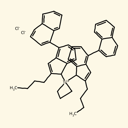 CCCCC1=Cc2c(-c3cccc4ccccc34)cccc2[CH]1[Ti+2]1([CH]2C(CCCC)=Cc3c(-c4cccc5ccccc45)cccc32)[CH2]C[CH2]1.[Cl-].[Cl-]